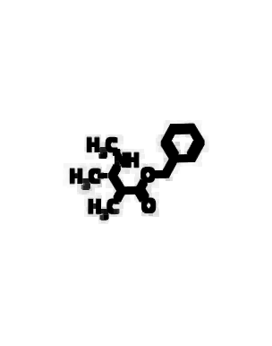 CN[C@@H](C)C(C)C(=O)OCc1ccccc1